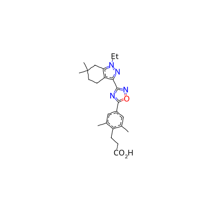 CCn1nc(-c2noc(-c3cc(C)c(CCC(=O)O)c(C)c3)n2)c2c1CC(C)(C)CC2